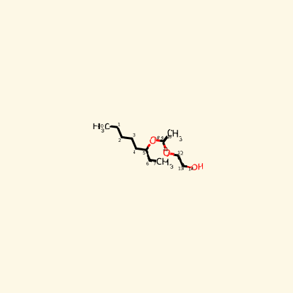 CCCCCC(CC)OC(C)OCCO